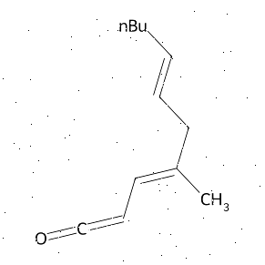 CCCCC=CCC(C)=CC=C=O